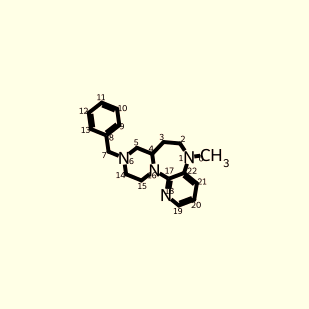 CN1CCC2CN(Cc3ccccc3)CCN2c2ncccc21